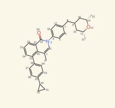 Cc1cn(-c2ccc(CC3C[C@@H](C)O[C@@H](C)C3)cc2)c(=O)c2cccc(-c3ccc(C4CC4)cc3)c12